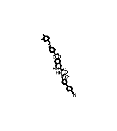 COC(=O)[C@H](Cc1ccc(-c2ccc(C#N)cc2)cc1)NC(=O)C1Cc2cc3c(cc2CN1)O[C@@H](c1ccc(OCc2ccc(C)c(C)c2)cc1)CO3